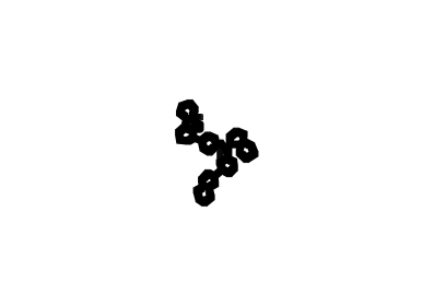 c1cc(-c2ccc3ccccc3c2)cc(N(c2ccc(-c3cccc4c3sc3ccccc34)cc2)c2cccc3ccccc23)c1